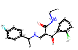 CCNC(=O)C(=CNC(C)c1ccc(F)cc1)C(=O)c1ccccc1Cl